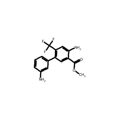 COC(=O)c1cc(-c2cccc(N)c2)c(C(F)(F)F)cc1N